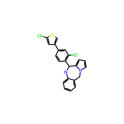 Clc1cc(-c2ccc(C3[N]c4ccccc4Cn4cccc43)c(Cl)c2)cs1